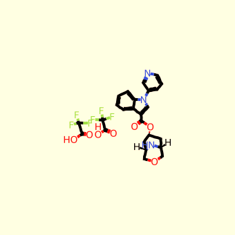 O=C(O)C(F)(F)F.O=C(O)C(F)(F)F.O=C(O[C@H]1C[C@H]2COC[C@@H](C1)N2)c1cn(-c2cccnc2)c2ccccc12